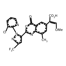 CO/C=C(/C(=O)O)c1cc(C)c2nc(-c3cc(C(F)(F)F)nn3-c3ncccc3Cl)oc(=O)c2c1